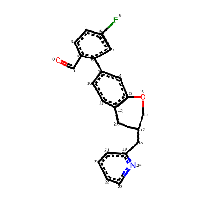 O=Cc1ccc(F)cc1-c1ccc2c(c1)OCC(Cc1ccccn1)C2